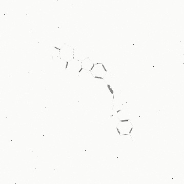 Cc1ccc(S(=O)(=O)OCC#Cc2ccc3c(c2)C(=O)N(C2CCC(=O)NC2=O)C3)cc1